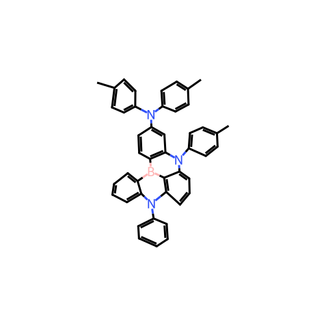 Cc1ccc(N(c2ccc(C)cc2)c2ccc3c(c2)N(c2ccc(C)cc2)c2cccc4c2B3c2ccccc2N4c2ccccc2)cc1